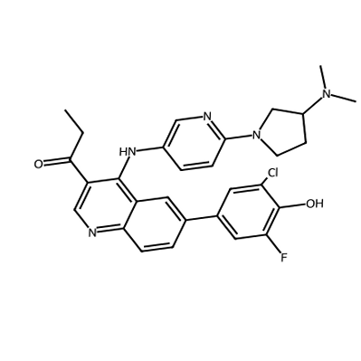 CCC(=O)c1cnc2ccc(-c3cc(F)c(O)c(Cl)c3)cc2c1Nc1ccc(N2CCC(N(C)C)C2)nc1